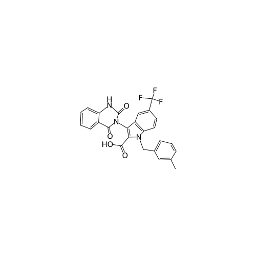 Cc1cccc(Cn2c(C(=O)O)c(-n3c(=O)[nH]c4ccccc4c3=O)c3cc(C(F)(F)F)ccc32)c1